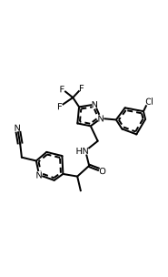 CC(C(=O)NCc1cc(C(F)(F)F)nn1-c1cccc(Cl)c1)c1ccc(CC#N)nc1